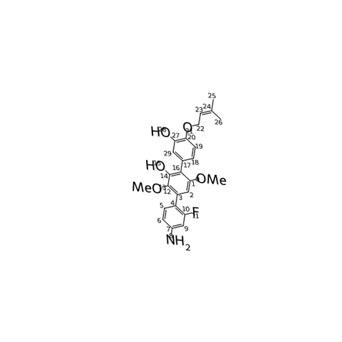 COc1cc(-c2ccc(N)cc2F)c(OC)c(O)c1-c1ccc(OCC=C(C)C)c(O)c1